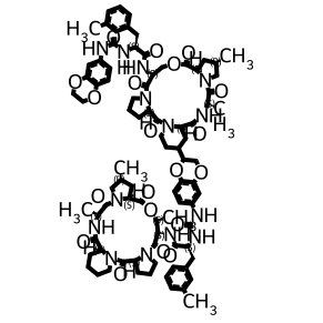 Cc1cccc(C[C@H](NC(=O)Nc2ccc3c(c2)OCCO3)C(=O)N[C@H]2COC(=O)[C@@H]3C[C@@H](C)CN3C(=O)[C@H](C)NC(=O)[C@@H]3CC(C4COc5cc(NC(=O)N[C@@H](Cc6cccc(C)c6)C(=O)N[C@@H]6C(=O)N7CCC[C@H]7C(=O)N7CCCC[C@H]7C(=O)N[C@@H](C)C(=O)N7C[C@H](C)C[C@H]7C(=O)O[C@H]6C)ccc5O4)CCN3C(=O)[C@@H]3CCCN3C2=O)c1